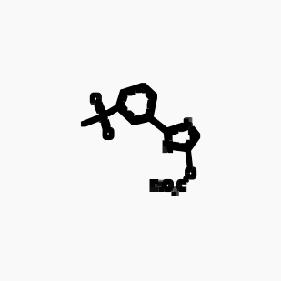 CCOC(=O)Oc1csc(-c2cccc(S(C)(=O)=O)c2)n1